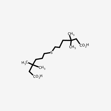 CC(C)(CCCSCCCC(C)(C)CC(=O)O)CC(=O)O